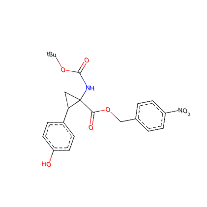 CC(C)(C)OC(=O)NC1(C(=O)OCc2ccc([N+](=O)[O-])cc2)CC1c1ccc(O)cc1